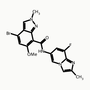 COc1cc(Br)c2cn(C)nc2c1C(=O)Nc1cc(F)c2nc(C)cn2c1